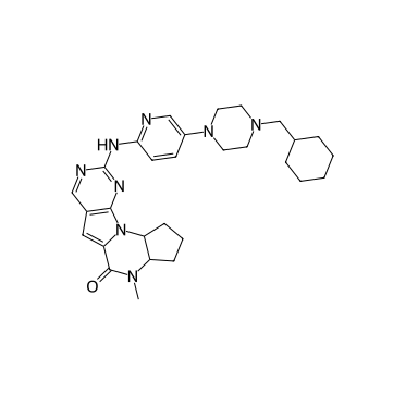 CN1C(=O)c2cc3cnc(Nc4ccc(N5CCN(CC6CCCCC6)CC5)cn4)nc3n2C2CCCC21